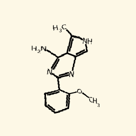 COc1ccccc1-c1nc(N)c2c(C)[nH]cc2n1